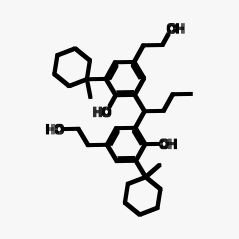 CCCC(c1cc(CCO)cc(C2(C)CCCCC2)c1O)c1cc(CCO)cc(C2(C)CCCCC2)c1O